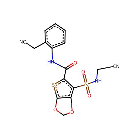 N#CCNS(=O)(=O)c1c(C(=O)Nc2ccccc2CC#N)sc2c1OCO2